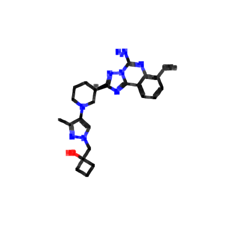 COc1cccc2c1nc(N)n1nc([C@@H]3CCCN(c4cn(CC5(O)CCC5)nc4C)C3)nc21